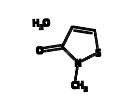 Cn1sccc1=O.O